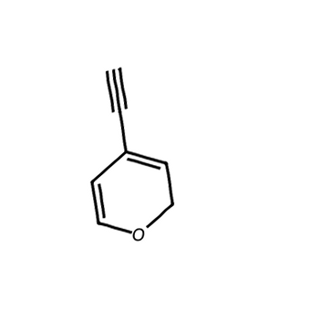 [C]#CC1=CCOC=C1